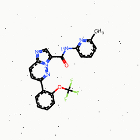 Cc1cccc(NC(=O)c2cnc3ccc(-c4ccccc4OC(F)(F)F)nn23)n1